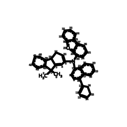 CC1(C)C2=CC(N(c3ccc(C4=CC=CCC4)c4ccccc34)c3cccc4c3oc3ccccc34)=CCC2c2ccccc21